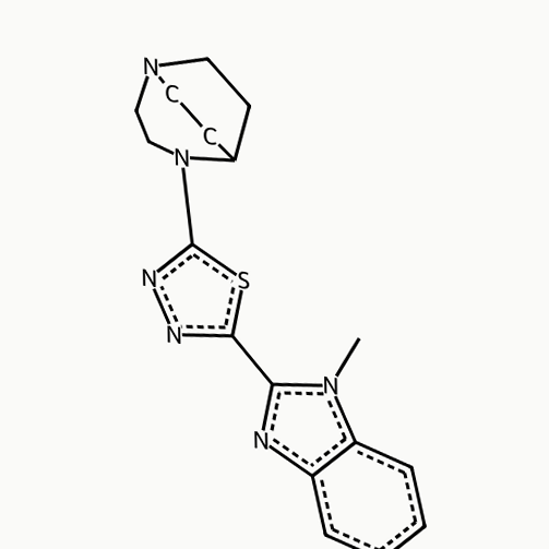 Cn1c(-c2nnc(N3CCN4CCC3CC4)s2)nc2ccccc21